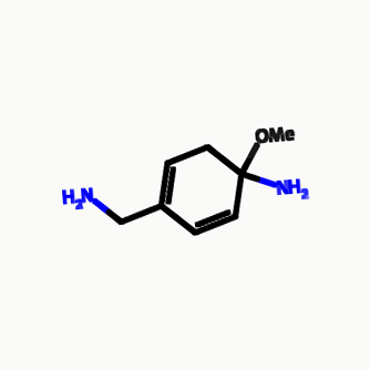 COC1(N)C=CC(CN)=CC1